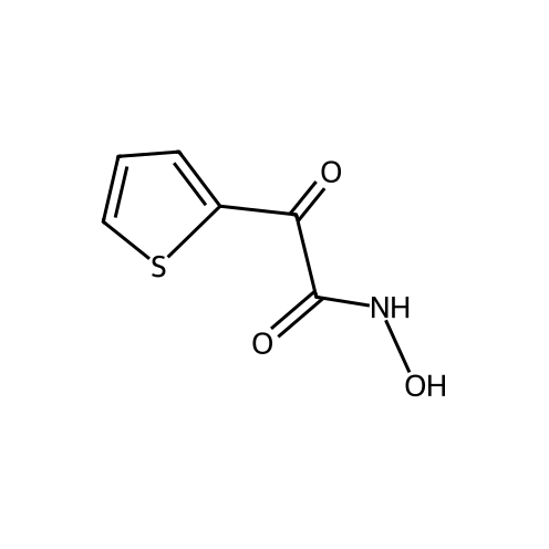 O=C(NO)C(=O)c1cccs1